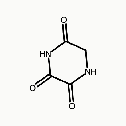 O=C1CNC(=O)C(=O)N1